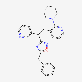 c1ccc(Cc2nc(C(Cc3cccnc3N3CCCCC3)c3cccnc3)no2)cc1